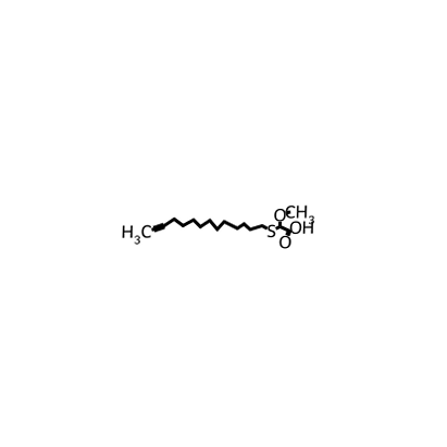 CC#CCCCCCCCCCCCSC(OC)C(=O)O